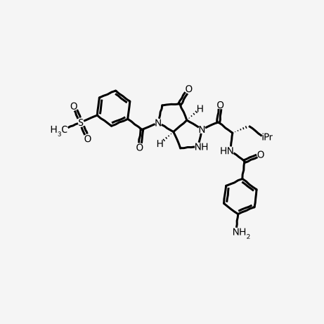 CC(C)C[C@H](NC(=O)c1ccc(N)cc1)C(=O)N1NC[C@@H]2[C@H]1C(=O)CN2C(=O)c1cccc(S(C)(=O)=O)c1